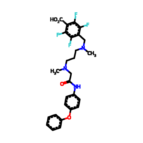 CN(CCCN(C)Cc1c(F)c(F)c(C(=O)O)c(F)c1F)CC(=O)Nc1ccc(Oc2ccccc2)cc1